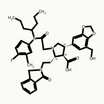 CCCC(CCC)N(C(=O)CN1C[C@H](c2cc(CO)c3c(c2)OCO3)[C@@H](C(=O)O)[C@@H]1CCN1Cc2ccccc2C1=O)c1ccc(F)c(C)c1